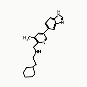 Cc1cc(-c2ccc3[nH]cnc3c2)cnc1CNCCC1CCCCC1